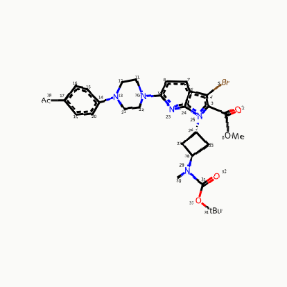 COC(=O)c1c(Br)c2ccc(N3CCN(c4ccc(C(C)=O)cc4)CC3)nc2n1[C@H]1C[C@H](N(C)C(=O)OC(C)(C)C)C1